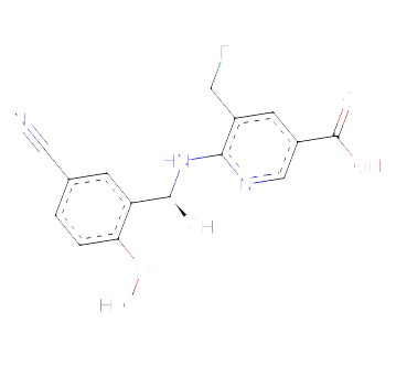 COc1ccc(C#N)cc1[C@H](C)Nc1ncc(C(=O)O)cc1CF